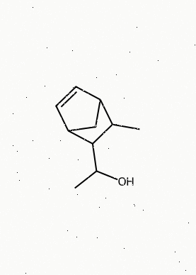 CC(O)C1C2C=CC(C2)C1C